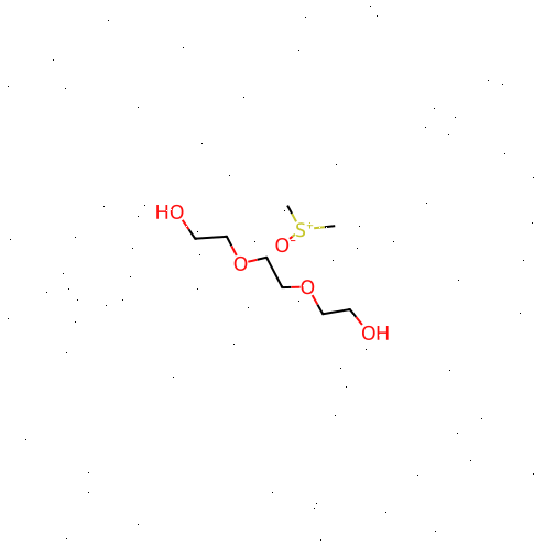 C[S+](C)[O-].OCCOCCOCCO